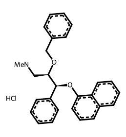 CNC[C@@H](OCc1ccccc1)[C@@H](Oc1cccc2ccccc12)c1ccccc1.Cl